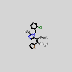 CCCCc1ncc(C(=C(C(=O)O)c2cccs2)C(C)CCC)n1Cc1ccccc1Cl